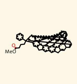 COC(=O)CCCC1(c2ccccc2)C2c3cc4c5c6c(cc7cc8c9c%10c%11c%12c%13c%14c%15c(c%16c3c5c(c%16%13)c3c6c7c9c%123)C21CC%15=CC(C=C%10C8)C%14%11)C4